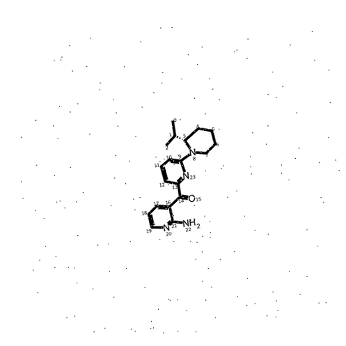 CC(C)[C@@H]1CCCCN1c1cccc(C(=O)c2cccnc2N)n1